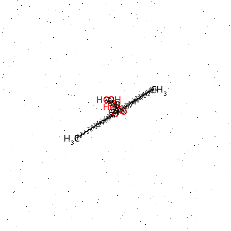 CCCCCCCCCCCCCCCCCCCCCC(=O)O[C@H](COC(=O)CCCCCCCCCCCCCCCCCC)COP(=O)(O)OC[C@@H](O)CO